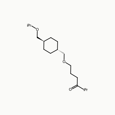 CC(C)OC[C@H]1CC[C@H](COCCCC(=O)C(C)C)CC1